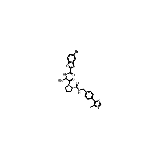 Cc1ncsc1-c1ccc(CNC(=O)[C@@H]2CCCN2C(=O)C(NC(=O)c2nc3cc(Br)ccc3o2)C(C)(C)C)cc1